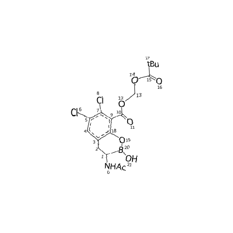 CC(=O)NC1Cc2cc(Cl)c(Cl)c(C(=O)OCOC(=O)C(C)(C)C)c2OB1O